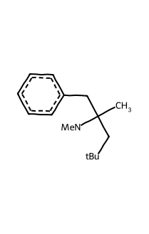 CNC(C)(Cc1ccccc1)CC(C)(C)C